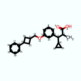 CC(C(=O)O)C(c1cccc(OCC2CC(c3ccccc3)C2)c1)C1CC1